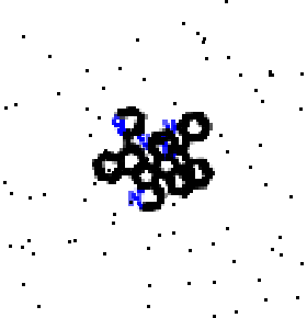 c1ccc(-c2nc(-n3c4cccnc4c4c5ccccc5c5c(c43)C3(c4ccccc4-c4ccccc43)c3cccnc3-5)nc3ccccc23)cc1